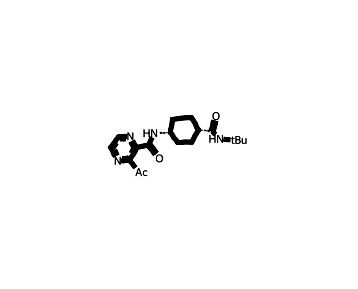 CC(=O)c1nccnc1C(=O)N[C@H]1CC[C@@H](C(=O)NC(C)(C)C)CC1